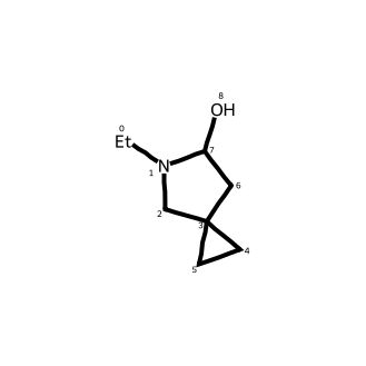 CCN1CC2(CC2)CC1O